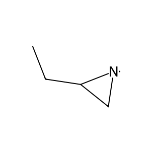 CCC1C[N]1